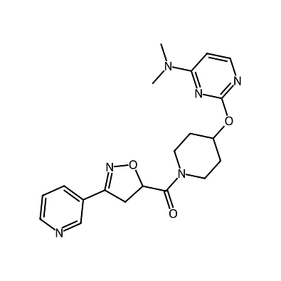 CN(C)c1ccnc(OC2CCN(C(=O)C3CC(c4cccnc4)=NO3)CC2)n1